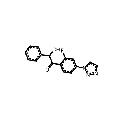 O=C(c1ccc(-n2ccnn2)cc1F)C(O)c1ccccc1